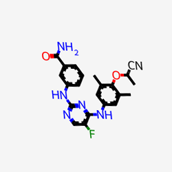 Cc1cc(Nc2nc(Nc3cccc(C(N)=O)c3)ncc2F)cc(C)c1OC(C)C#N